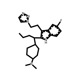 CCCC(c1[nH]c2ccc(F)cc2c1CCn1ccnn1)C1CCC(N(C)C)CC1